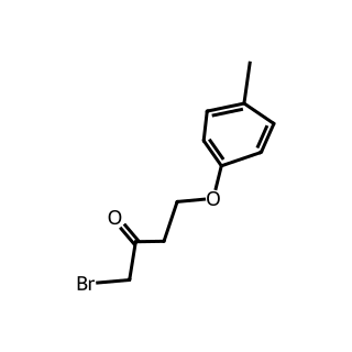 Cc1ccc(OCCC(=O)CBr)cc1